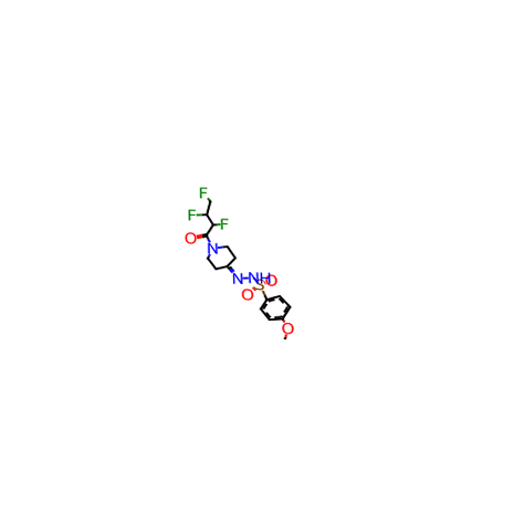 COc1ccc(S(=O)(=O)NN=C2CCN(C(=O)C(F)C(F)CF)CC2)cc1